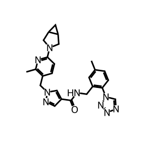 Cc1ccc(-n2cnnn2)c(CNC(=O)c2cnn(Cc3ccc(N4CC5CC5C4)nc3C)c2)c1